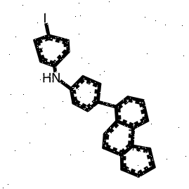 Ic1ccc(Nc2ccc(-c3cccc4c3ccc3ccccc34)cc2)cc1